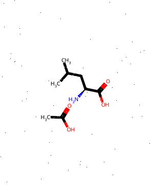 CC(=O)O.CC(C)C[C@H](N)C(=O)O